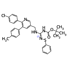 Cc1ccc(-c2cc(CN/C(=N/Sc3ccccc3)NC(=O)OC(C)(C)C)cnc2-c2ccc(Cl)cc2)cc1